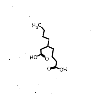 CCCCC(CCCC(=O)O)CC(=O)O